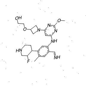 COc1nc(Nc2cc(C3CCNCC3F)c(C)cc2C=N)cc(N2CC(OCCO)C2)n1